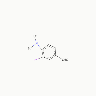 CCN(CC)c1ccc(C=O)cc1I